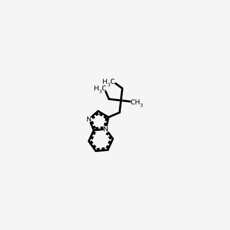 CCC(C)(CC)Cc1cnc2ccccn12